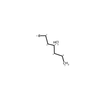 Cl.[B]CCCCCC